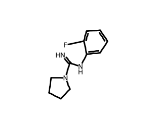 N=C(Nc1ccccc1F)N1CCCC1